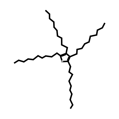 CCCCCCCCCCC1=C(CCCCCCCCCC)C(CCCCCCCCCC)=C(CCCCCCCCCC)[N]1